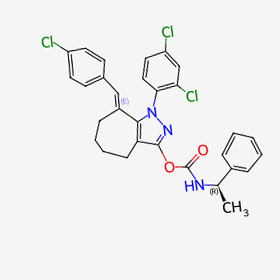 C[C@@H](NC(=O)Oc1nn(-c2ccc(Cl)cc2Cl)c2c1CCCC/C2=C\c1ccc(Cl)cc1)c1ccccc1